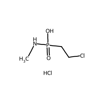 CNP(=O)(O)CCCl.Cl